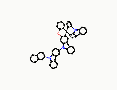 c1ccc2c(c1)Oc1cc3c(cc1C21c2ccccc2-n2c4ccccc4c4cccc1c42)c1ccccc1n3-c1ccc2c(c1)c1ccccc1n2-c1ccc2ccccc2c1